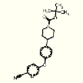 CC(C)(C)OC(=O)N1CCC(c2ccc(Oc3ccc(C#N)nc3)cc2)CC1